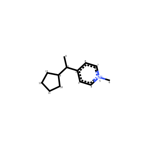 CC(c1cc[n+](C)cc1)C1CCCC1